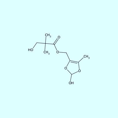 CC1=C(COC(=O)C(C)(C)CO)OC(O)O1